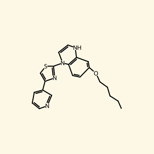 CCCCCOc1ccc2c(c1)NC=CN2c1nc(-c2cccnc2)cs1